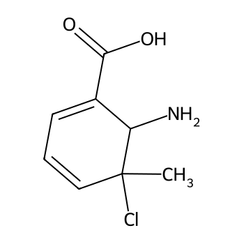 CC1(Cl)C=CC=C(C(=O)O)C1N